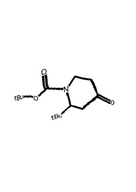 CC(C)(C)OC(=O)N1CCC(=O)CC1C(C)(C)C